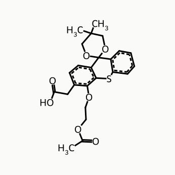 CC(=O)OCCOc1c(CC(=O)O)ccc2c1Sc1ccccc1C21OCC(C)(C)CO1